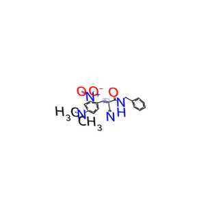 CN(C)c1ccc(/C=C(\C#N)C(=O)NCc2ccccc2)c([N+](=O)[O-])c1